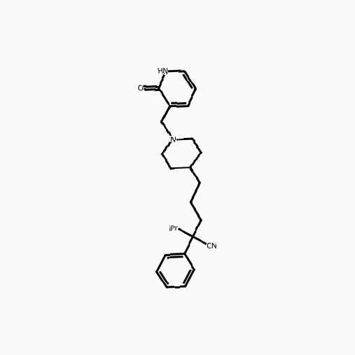 CC(C)C(C#N)(CCCC1CCN(Cc2ccc[nH]c2=O)CC1)c1ccccc1